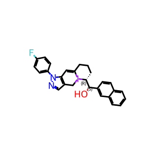 O[C@@H](c1ccc2ccccc2c1)[C@H]1CCCC2=Cc3c(cnn3-c3ccc(F)cc3)CI21